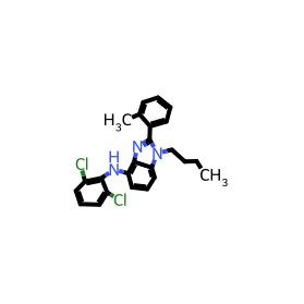 CCCCn1c(-c2ccccc2C)nc2c(Nc3c(Cl)cccc3Cl)cccc21